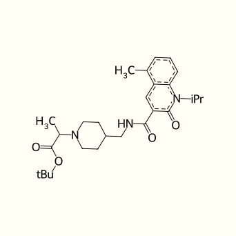 Cc1cccc2c1cc(C(=O)NCC1CCN(C(C)C(=O)OC(C)(C)C)CC1)c(=O)n2C(C)C